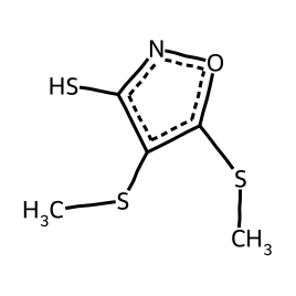 CSc1onc(S)c1SC